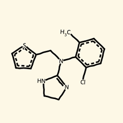 Cc1cccc(Cl)c1N(Cc1cccs1)C1=NCCN1